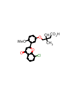 COc1ccc(OCC(C)(C)CC(=O)O)cc1-c1cc(=O)c2cccc(Cl)c2o1